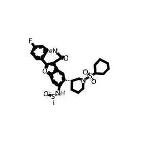 CNC(=O)c1c(-c2ccc(F)cc2)oc2cc(N[S@+](C)[O-])c([C@H]3CCCN(S(=O)(=O)C4CCCCC4)C3)cc12